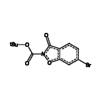 CC(C)(C)OC(=O)n1oc2cc(Br)ccc2c1=O